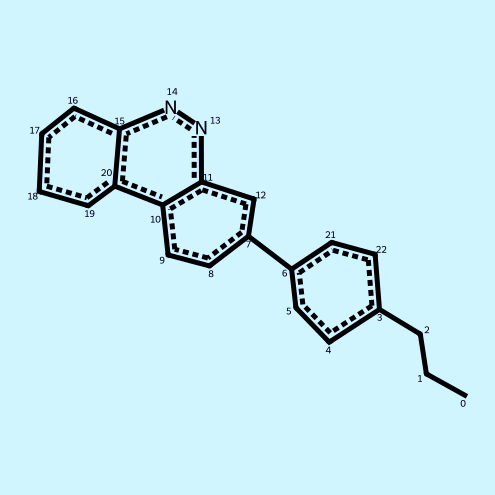 CCCc1ccc(-c2ccc3c(c2)nnc2ccccc23)cc1